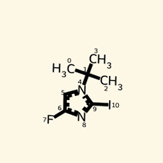 CC(C)(C)n1cc(F)nc1I